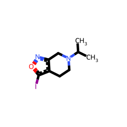 CC(C)N1CCc2c(noc2I)C1